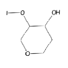 OC1CCOCC1OI